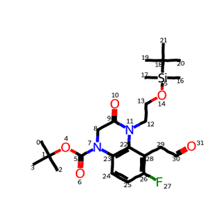 CC(C)(C)OC(=O)N1CC(=O)N(CCO[Si](C)(C)C(C)(C)C)c2c1ccc(F)c2CC=O